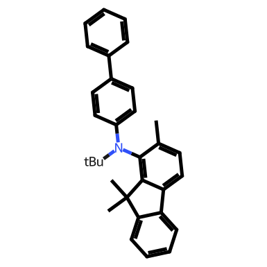 Cc1ccc2c(c1N(c1ccc(-c3ccccc3)cc1)C(C)(C)C)C(C)(C)c1ccccc1-2